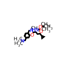 CN(C)Cc1ccc(CN(C)C(=O)C(CCC2CC2)NC(=O)OC(C)(C)C)cc1